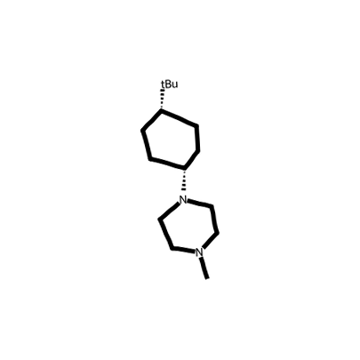 CN1CCN([C@H]2CC[C@@H](C(C)(C)C)CC2)CC1